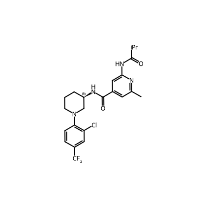 Cc1cc(C(=O)N[C@@H]2CCCN(c3ccc(C(F)(F)F)cc3Cl)C2)cc(NC(=O)C(C)C)n1